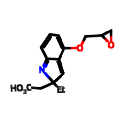 CCC1(CC(=O)O)C=c2c(OCC3CO3)cccc2=N1